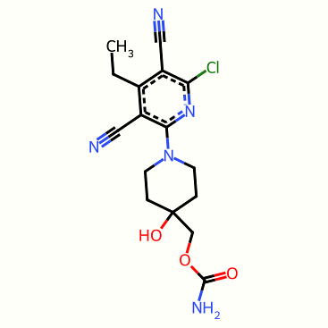 CCc1c(C#N)c(Cl)nc(N2CCC(O)(COC(N)=O)CC2)c1C#N